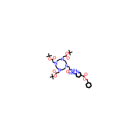 CC(C)(C)OC(=O)CN1CCN(CC(=O)NNc2ccc(C(=O)OCc3ccccc3)cn2)CCN(CC(=O)OC(C)(C)C)CCN(CC(=O)OC(C)(C)C)CC1